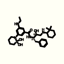 CCNc1cc(C(=O)N[C@@H](Cc2ccccc2)[C@@H](O)CNC2CCCCC2(C)C)cc(N2CCCCS2(O)O)c1